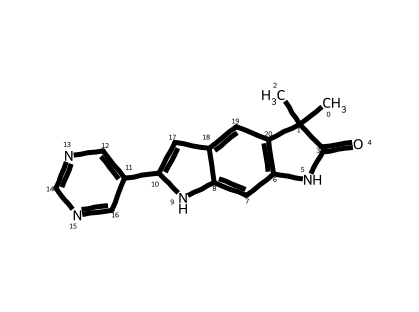 CC1(C)C(=O)Nc2cc3[nH]c(-c4cncnc4)cc3cc21